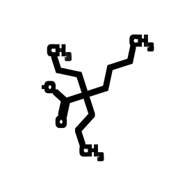 CCCCC(CCC)(CCC)C([O])=O